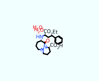 CCOC(=O)[C@H](CCc1ccccc1)N[C@H]1CCCN2CCC[C@@H](C(=O)O)N2C1=O.O.O